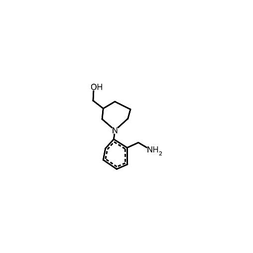 NCc1ccccc1N1CCCC(CO)C1